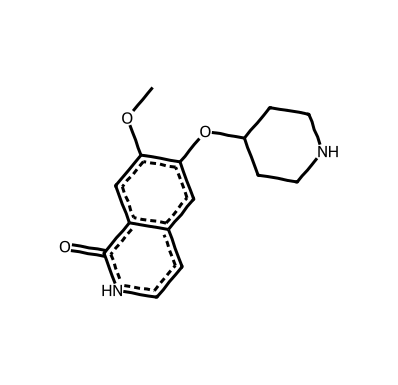 COc1cc2c(=O)[nH]ccc2cc1OC1CCNCC1